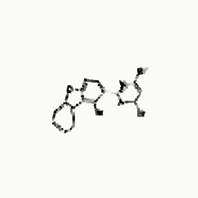 Brc1cc(Br)nc(-c2ccc3oc4ccccc4c3c2Br)n1